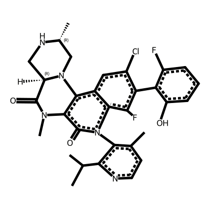 Cc1ccnc(C(C)C)c1-n1c(=O)c2c(c3cc(Cl)c(-c4c(O)cccc4F)c(F)c31)N1C[C@@H](C)NC[C@@H]1C(=O)N2C